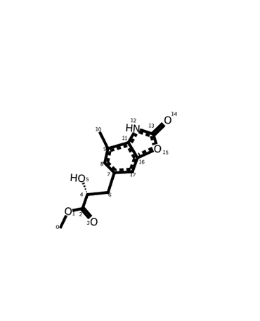 COC(=O)[C@H](O)Cc1cc(C)c2[nH]c(=O)oc2c1